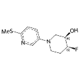 CSc1ccc(N2CC[C@H](F)[C@H](O)C2)cn1